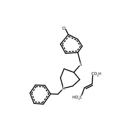 Clc1ccc(SC2CCN(Cc3ccccc3)CC2)cc1.O=C(O)C=CC(=O)O